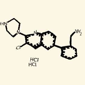 Cl.Cl.NCc1ccccc1-c1ccc2nc(N3CCNCC3)c(Cl)cc2c1